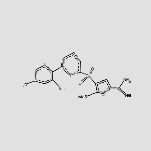 CSc1sc(C(=N)N)cc1S(=O)(=O)c1cccc(-c2ncc(N)cc2C)c1